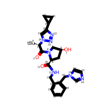 CC(C)(C)[C@@H](C(=O)N1C[C@H](O)C[C@H]1C(=O)NCc1ccccc1Cn1ccnc1)n1cc(C2CC2)nn1